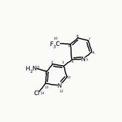 Nc1cc(-c2ncccc2C(F)(F)F)cnc1Cl